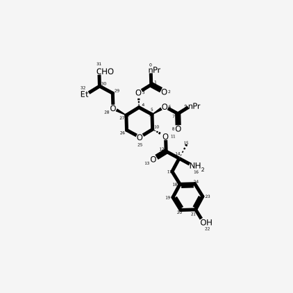 CCCC(=O)O[C@@H]1[C@@H](OC(=O)CCC)[C@H](OC(=O)[C@@](C)(N)Cc2ccc(O)cc2)OC[C@H]1OCC(C=O)CC